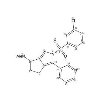 CNC1CCc2c1cn(S(=O)(=O)c1cccc(Cl)c1)c2-c1cccnc1